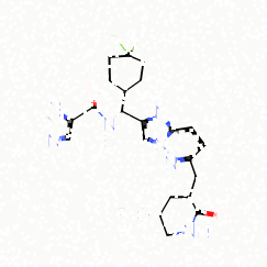 O=C(N[C@H](c1cn2nc(CC3C[C@@H](C(F)(F)F)CNC3=O)ccc2n1)C1CCC(F)(F)CC1)c1cnsn1